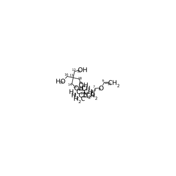 C=C.C=C.C=C.C=COC=C.OCC(CO)(CO)CO